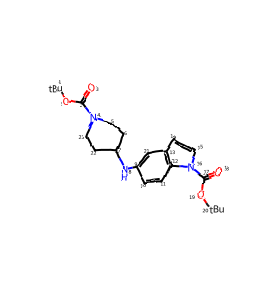 CC(C)(C)OC(=O)N1CCC(Nc2ccc3c(ccn3C(=O)OC(C)(C)C)c2)CC1